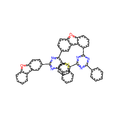 c1ccc(-c2nc(-c3ccccc3)nc(-c3cccc4oc5ccc(-c6nc(-c7ccc8oc9ccccc9c8c7)nc7c6sc6ccccc67)cc5c34)n2)cc1